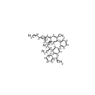 C=C(C(C)=Cc1ccccc1)c1ccccc1.C=C(C)c1ccccc1.C=CC=C.C=Cc1ccccc1